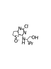 CC(C)[C@H](CO)Nc1nc(Cl)nc2c1[S+]([O-])CC2